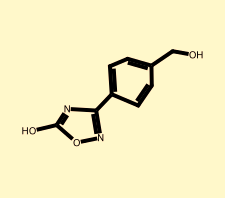 OCc1ccc(-c2noc(O)n2)cc1